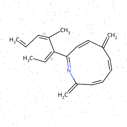 C=C/C=C(C)\C(=C/C)c1ccc(=C)ccccc(=C)n1